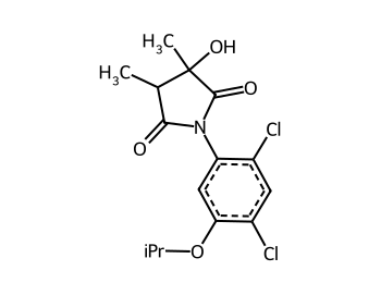 CC(C)Oc1cc(N2C(=O)C(C)C(C)(O)C2=O)c(Cl)cc1Cl